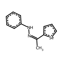 CC(=NNc1ccccc1)c1ccc[se]1